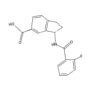 O=C(O)c1ccc2c(c1)C(NC(=O)c1ccccc1F)CC2